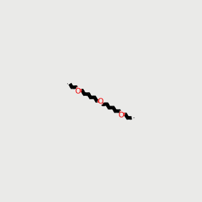 [CH2]CCOCCCCCCOCCCCCCOCC[CH2]